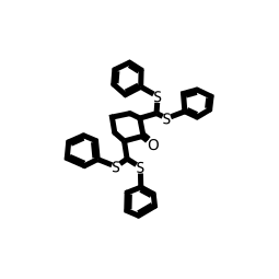 O=C1C(C(Sc2ccccc2)Sc2ccccc2)CCCC1C(Sc1ccccc1)Sc1ccccc1